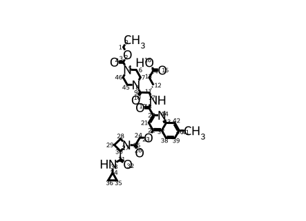 CCOC(=O)N1CCN(C(=O)[C@H](CCC(=O)O)NC(=O)c2cc(OCC(=O)N3CC[C@@H]3C(=O)NC3CC3)c3ccc(C)cc3n2)CC1